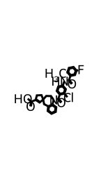 Cc1ccc(F)cc1C(=O)Nc1ccc(C(=O)N2CCC3(C=C(C(=O)O)CC3)Cc3ccccc32)c(Cl)c1